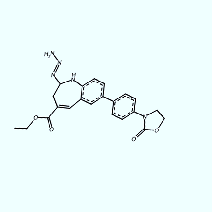 CCOC(=O)C1=Cc2cc(-c3ccc(N4CCOC4=O)cc3)ccc2NC(N=NN)C1